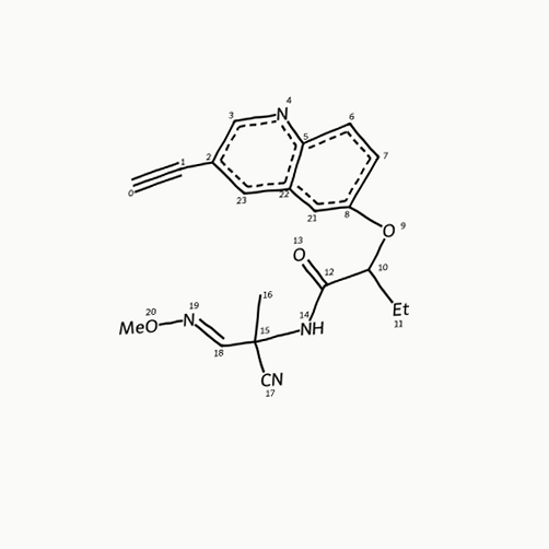 C#Cc1cnc2ccc(OC(CC)C(=O)NC(C)(C#N)C=NOC)cc2c1